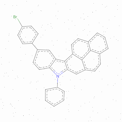 Brc1ccc(-c2ccc3c(c2)c2c4ccc5cccc6ccc(cc2n3-c2ccccc2)c4c65)cc1